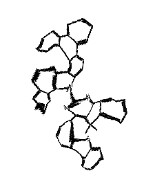 CC1(C)c2ccccc2-c2nc(-n3c4ccc5c6ccccc6c6ccccc6c5c4c4ccc5ccccc5c43)nc(-c3cccc4c3sc3ccccc34)c21